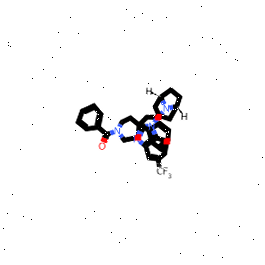 O=C(c1ccccc1)N1CCC(CCN2[C@@H]3CC[C@H]2CC(n2cnc4cc(C(F)(F)F)ccc42)C3)(c2ccccc2)CC1